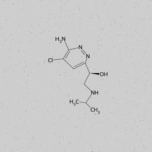 CC(C)NC[C@H](O)c1cc(Cl)c(N)nn1